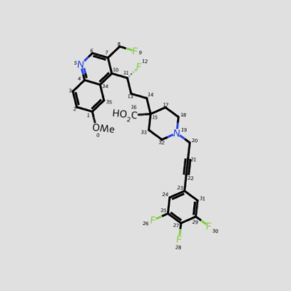 COc1ccc2ncc(CF)c([C@H](F)CCC3(C(=O)O)CCN(CC#Cc4cc(F)c(F)c(F)c4)CC3)c2c1